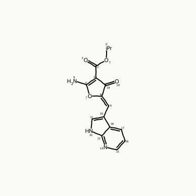 CC(C)OC(=O)C1=C(N)O/C(=C\c2c[nH]c3ncccc23)C1=O